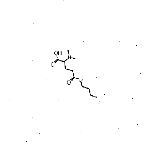 CCCCOC(=O)CC[C@@H](C(=O)O)N(C)C